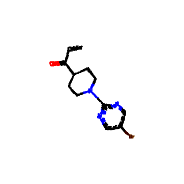 COC(=O)C1CCN(c2ncc(Br)cn2)CC1